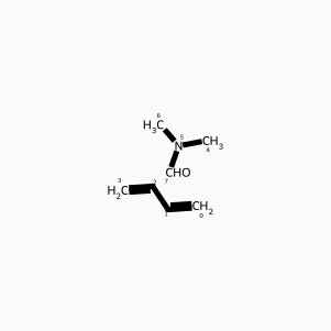 C=CC=C.CN(C)C=O